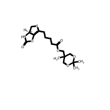 CC1(COC(=O)CCCCC2=C3OC(=O)N[C@H]3CS2)COC(C)(C)OC1